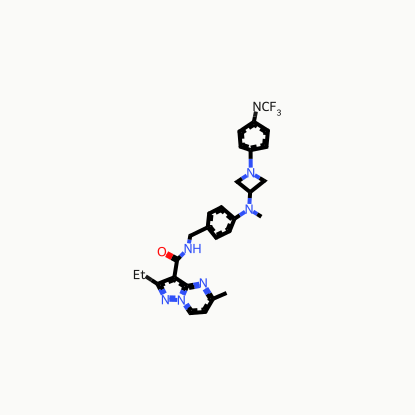 CCc1nn2ccc(C)nc2c1C(=O)NCc1ccc(N(C)C2CN(c3ccc(NC(F)(F)F)cc3)C2)cc1